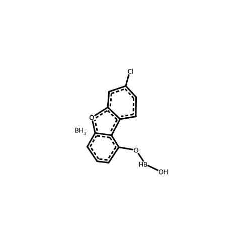 B.OBOc1cccc2oc3cc(Cl)ccc3c12